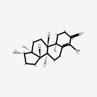 C[C@]12CC[C@H]3[C@@H](CCC4=C(S)C(=O)CC[C@@]43C)[C@@H]1CC[C@@H]2O